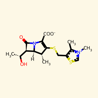 Cc1c(CSC2=C(C(=O)[O-])N3C(=O)[C@H]([C@@H](C)O)[C@@H]3[C@H]2C)sc[n+]1C